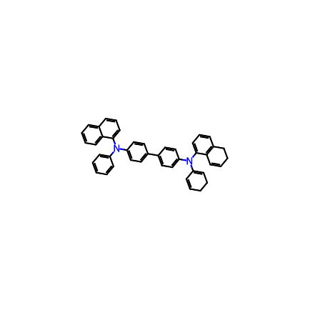 C1=CC(N(c2ccc(-c3ccc(N(c4ccccc4)c4cccc5ccccc45)cc3)cc2)c2cccc3c2C=CCC3)=CCC1